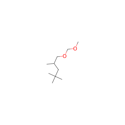 COCOCC(C)CC(C)(C)C